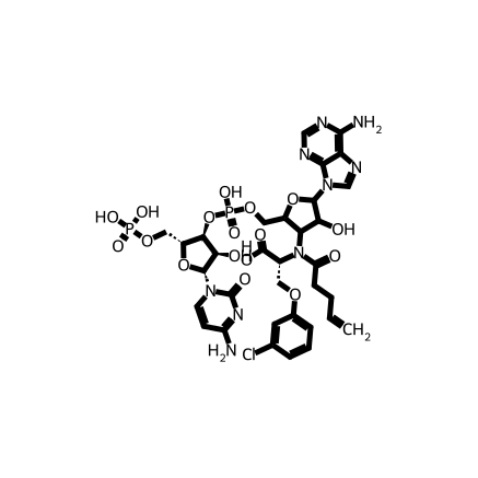 C=CCCC(=O)N(C1C(COP(=O)(O)O[C@H]2[C@@H](O)[C@H](n3ccc(N)nc3=O)O[C@@H]2COP(=O)(O)O)OC(n2cnc3c(N)ncnc32)C1O)[C@H](COc1cccc(Cl)c1)C(=O)O